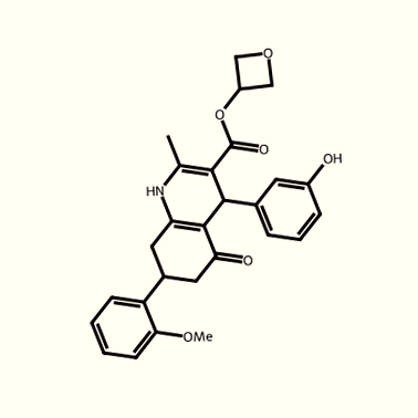 COc1ccccc1C1CC(=O)C2=C(C1)NC(C)=C(C(=O)OC1COC1)C2c1cccc(O)c1